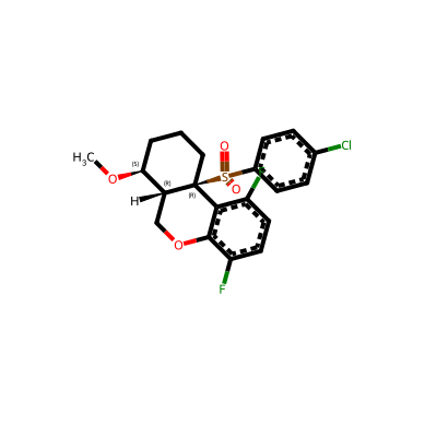 CO[C@H]1CCC[C@]2(S(=O)(=O)c3ccc(Cl)cc3)c3c(F)ccc(F)c3OC[C@H]12